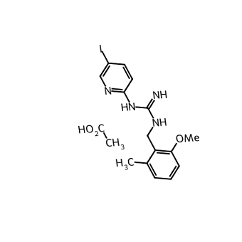 CC(=O)O.COc1cccc(C)c1CNC(=N)Nc1ccc(I)cn1